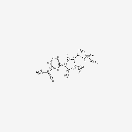 CP(C)(=O)OCC1OC([n+]2cccc(C(N)=O)c2)C(O)C1O